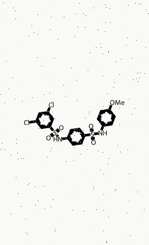 COc1ccc(NS(=O)(=O)c2ccc(NS(=O)(=O)c3cc(Cl)cc(Cl)c3)cc2)cc1